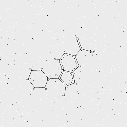 Cc1cc2cc(C(N)=O)cnn2c1N1CCCCC1